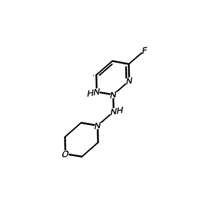 FC1=NN(NN2CCOCC2)N[C]=C1